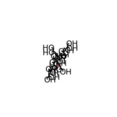 CC(O)C(N(NCCC(O)CO)C(=O)c1c(I)cc(I)c(C(=O)NCC(O)CO)c1I)N(NCCC(O)CO)C(=O)c1c(I)cc(I)c(C(=O)NCC(O)CO)c1I